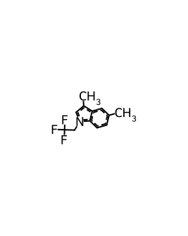 Cc1ccc2c(c1)c(C)cn2CC(F)(F)F